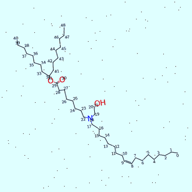 CCCCCCCC/C=C\CCCCCCCCN(CCO)CCCCCCCC(=O)OC(CCCCCCCC)CCCCCCCC